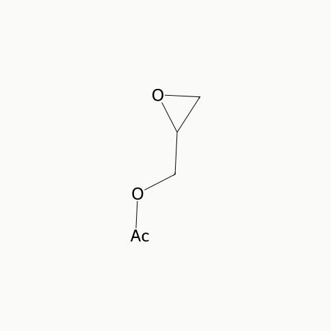 [CH2]C(=O)OCC1CO1